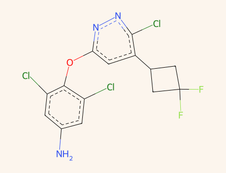 Nc1cc(Cl)c(Oc2cc(C3CC(F)(F)C3)c(Cl)nn2)c(Cl)c1